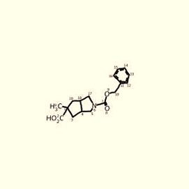 CC1(C(=O)O)CC2CN(C(=O)OCc3ccccc3)CC2C1